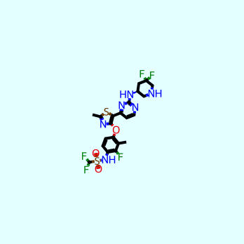 Cc1nc(Oc2ccc(NS(=O)(=O)C(F)F)c(F)c2C)c(-c2ccnc(N[C@@H]3CNCC(F)(F)C3)n2)s1